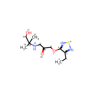 CCc1nsnc1OCC(=O)CNC(C)(C)CO